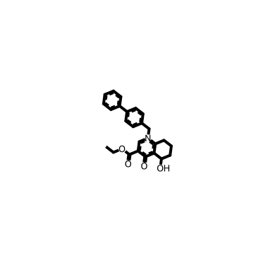 CCOC(=O)c1cn(Cc2ccc(-c3ccccc3)cc2)c2c(c1=O)C(O)CCC2